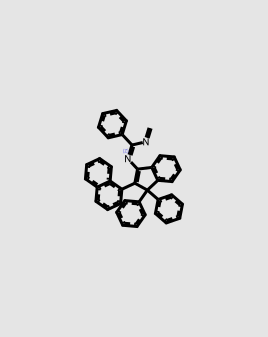 C=N/C(=N\C1=C(c2cccc3ccccc23)C(c2ccccc2)(c2ccccc2)c2ccccc21)c1ccccc1